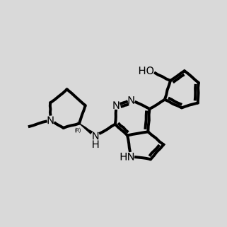 CN1CCC[C@@H](Nc2nnc(-c3ccccc3O)c3cc[nH]c23)C1